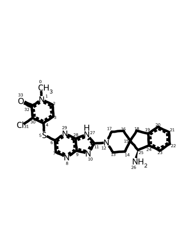 Cn1ccc(Sc2cnc3nc(N4CCC5(CC4)Cc4ccccc4[C@H]5N)[nH]c3n2)c(Cl)c1=O